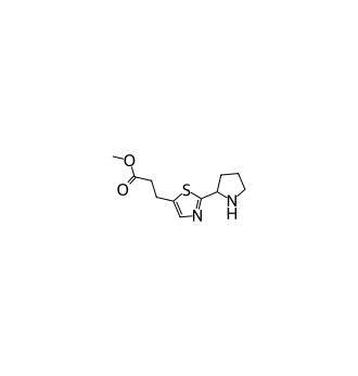 COC(=O)CCc1cnc(C2CCCN2)s1